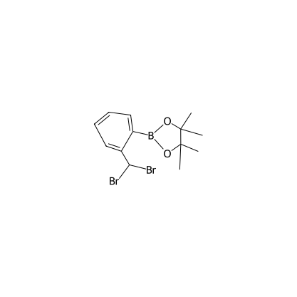 CC1(C)OB(c2ccccc2C(Br)Br)OC1(C)C